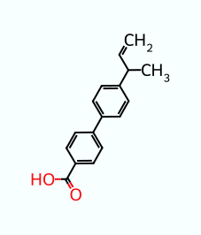 C=CC(C)c1ccc(-c2ccc(C(=O)O)cc2)cc1